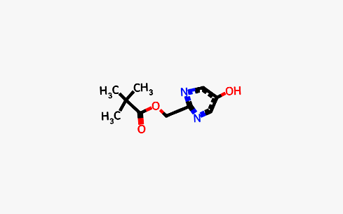 CC(C)(C)C(=O)OCc1ncc(O)cn1